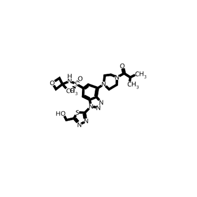 CC(C)C(=O)N1CCN(c2cc(S(=O)(=O)NC3(C)COC3)cc3c2nnn3-c2nnc(CO)s2)CC1